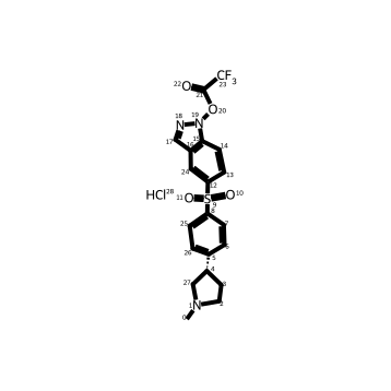 CN1CC[C@@H](c2ccc(S(=O)(=O)c3ccc4c(cnn4OC(=O)C(F)(F)F)c3)cc2)C1.Cl